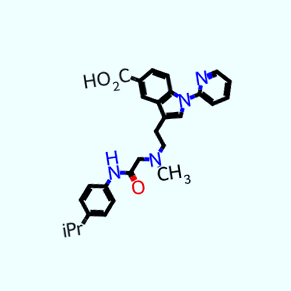 CC(C)c1ccc(NC(=O)CN(C)CCc2cn(-c3ccccn3)c3ccc(C(=O)O)cc23)cc1